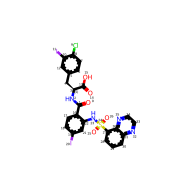 O=C(N[C@@H](Cc1ccc(Cl)c(I)c1)C(=O)O)c1ccc(I)cc1NS(=O)(=O)c1cccc2nccnc12